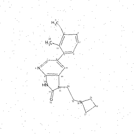 Cc1cccc(-c2cnc3[nH]c(=O)n(CCN4CCC4)c3c2)c1C